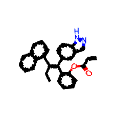 C=CC(=O)Oc1ccccc1/C(=C(\CC)c1cccc2ccccc12)c1ccc2[nH]ncc2c1